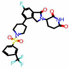 O=C1CCC(N2Cc3c(cc(F)cc3C3CCN(S(=O)(=O)c4cccc(C(F)(F)F)c4)CC3)C2=O)C(=O)N1